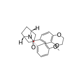 COc1cccc([C@H]2C[C@H]3CC[C@@H](C2)N3C(=O)c2ccc3c(c2)OCCO3)c1